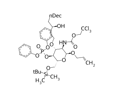 C=CCO[C@H]1O[C@H](CO[Si](C)(C)C(C)(C)C)[C@@H](OP(=O)(Oc2ccccc2)Oc2ccccc2)[C@H](OCC[C@H](O)CCCCCCCCCCC)[C@H]1NC(=O)OCC(Cl)(Cl)Cl